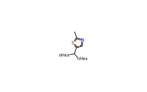 CCCCCCC(CCCCCC)c1cnc(C)s1